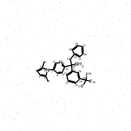 Cc1ccc(C)n1-c1ccc(C(N)(Cc2ccccc2)c2cccc(C(F)(F)F)c2)nc1